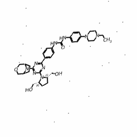 CCN1CCN(c2ccc(NC(=O)Nc3ccc(-c4nc(N5C6CCC5COC6)nc(N5[C@H](CO)CC[C@@H]5CO)n4)cc3)cc2)CC1